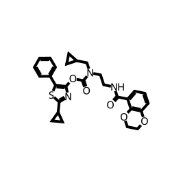 O=C(NCCN(CC1CC1)C(=O)Oc1nc(C2CC2)sc1-c1ccccc1)c1cccc2c1OCCO2